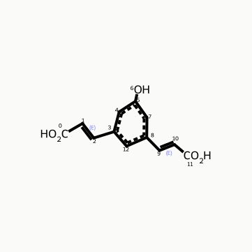 O=C(O)/C=C/c1cc(O)cc(/C=C/C(=O)O)c1